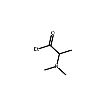 CCC(=O)C(C)N(C)C